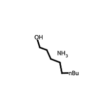 CCCCCCCCCO.N